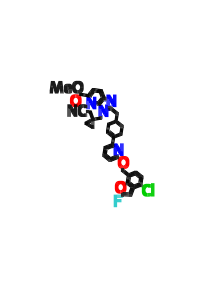 COC(=O)c1ccc2nc(CC3CC=C(c4cccc(OCc5ccc(Cl)c6cc(F)oc56)n4)CC3)n(CC3(CC#N)CC3)c2n1